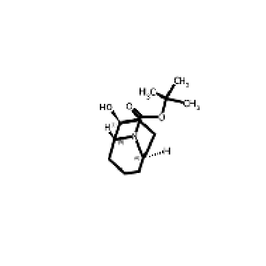 CC(C)(C)OC(=O)N1[C@@H]2CCC[C@@H]1[C@@H](O)CC2